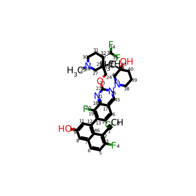 C#Cc1c(F)ccc2cc(O)cc(-c3c(Cl)cc4c(c3F)=NC(OC[C@]3(C)CN(C)CC[C@@H]3C(F)F)N(N3CCC[C@@](C)(O)C3)C=4)c12